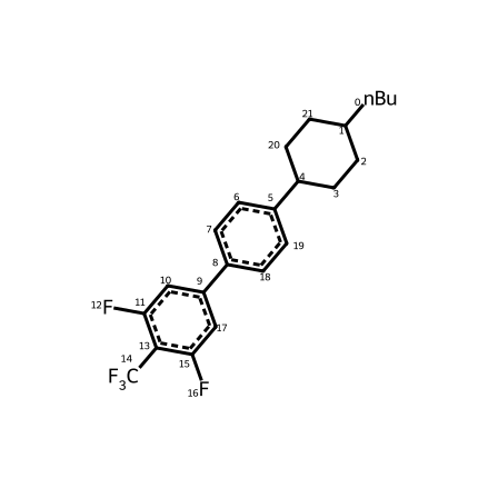 CCCCC1CCC(c2ccc(-c3cc(F)c(C(F)(F)F)c(F)c3)cc2)CC1